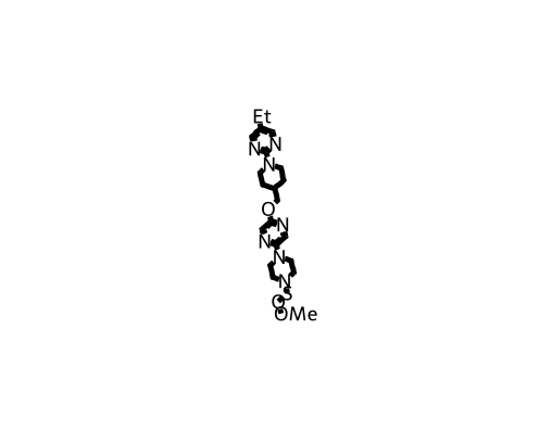 CCc1cnc(N2CCC(COc3cnc(N4CCN(SOOC)CC4)cn3)CC2)nc1